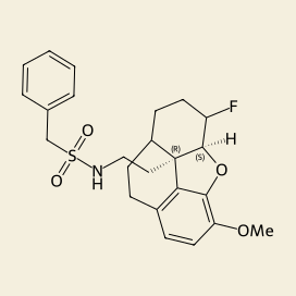 COc1ccc2c3c1O[C@@H]1C(F)CCC(CC2)[C@]31CCNS(=O)(=O)Cc1ccccc1